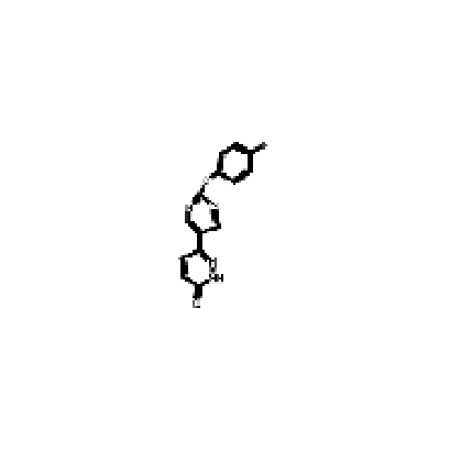 O=c1ccc(-c2cnc(Oc3ccc(F)cc3)nc2)n[nH]1